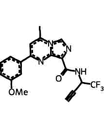 C#CC(NC(=O)c1ncn2c(C)cc(-c3cccc(OC)c3)nc12)C(F)(F)F